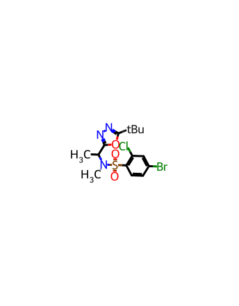 CC(c1nnc(C(C)(C)C)o1)N(C)S(=O)(=O)c1ccc(Br)cc1Cl